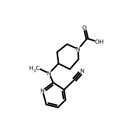 CN(c1ncccc1C#N)C1CCN(C(=O)O)CC1